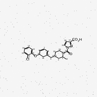 CC1CN(CC2=CC=CC(Oc3ccccc3Cl)C2)CCN1C(=O)n1ccc(C(=O)O)n1